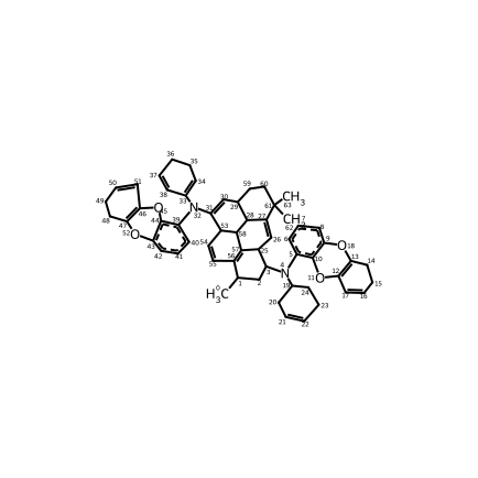 CC1CC(N(c2cccc3c2OC2=C(CCC=C2)O3)C2CC=CCC2)C2C=C3C4C(C=C(N(C5=CCCC=C5)c5cccc6c5OC5=C(CCC=C5)O6)C5C=CC1=C2C54)CCC3(C)C